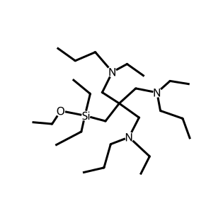 CCCN(CC)CC(CN(CC)CCC)(CN(CC)CCC)C[Si](CC)(CC)OCC